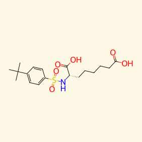 CC(C)(C)c1ccc(S(=O)(=O)N[C@@H](CCCCCC(=O)O)C(=O)O)cc1